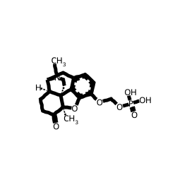 CN1CC[C@]23c4c5ccc(OCOP(=O)(O)O)c4O[C@@]2(C)C(=O)CC[C@H]3C1C5